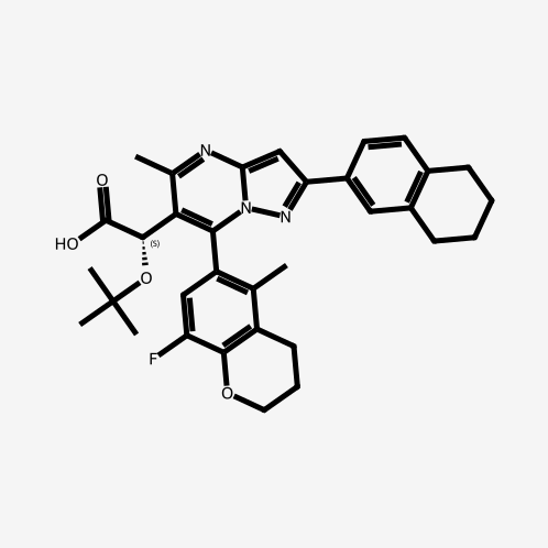 Cc1nc2cc(-c3ccc4c(c3)CCCC4)nn2c(-c2cc(F)c3c(c2C)CCCO3)c1[C@H](OC(C)(C)C)C(=O)O